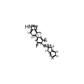 Cc1c(-c2cc(F)c(CNC3Cc4ccccc4C3)c(F)c2)ccc2[nH]cnc12